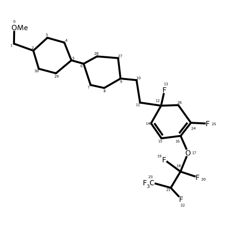 COCC1CCC(C2CCC(CCC3(F)C=CC(OC(F)(F)C(F)C(F)(F)F)=C(F)C3)CC2)CC1